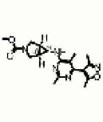 COC(=O)N1C[C@@H]2[C@H](C1)[C@H]2Nc1nc(C)nc(-c2c(C)noc2C)c1C